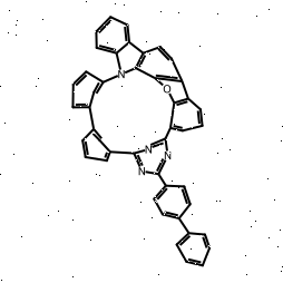 c1ccc(-c2ccc(-c3nc4nc(n3)c3cccc5c6ccc7c8ccccc8n(c8cccc(c8)c8cccc4c8)c7c6oc35)cc2)cc1